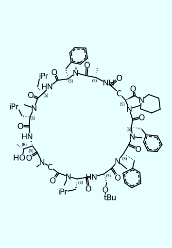 CC(C)C[C@@H]1NC(=O)[C@H](Cc2ccccc2)N(C)C(=O)[C@H](C)NC(=O)C[C@@H](C(=O)N2CCCCC2)N(C)C(=O)[C@H](Cc2ccccc2)N(C)C(=O)[C@H](Cc2ccccc2)N(C)C(=O)[C@H](COC(C)(C)C)NC(=O)[C@H](CC(C)C)N(C)C(=O)CN(C)C(=O)[C@H]([C@@H](C)O)NC(=O)[C@H](CC(C)C)N(C)C1=O